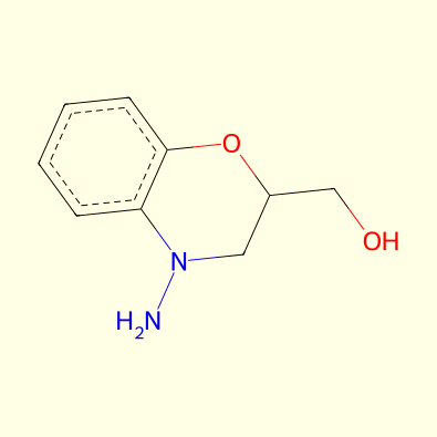 NN1CC(CO)Oc2ccccc21